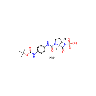 CC(C)(C)OC(=O)Nc1ccc(NC(=O)N2CC[C@@H]3[C@H]2C(=O)N3S(=O)(=O)O)cc1.[NaH]